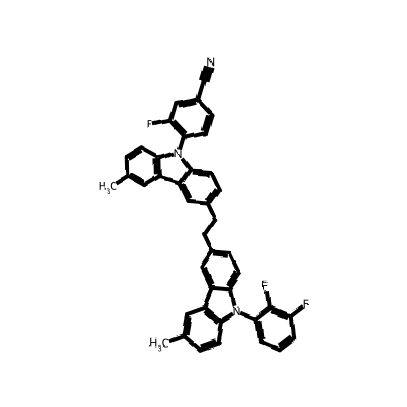 Cc1ccc2c(c1)c1cc(CCc3ccc4c(c3)c3cc(C)ccc3n4-c3cccc(F)c3F)ccc1n2-c1ccc(C#N)cc1F